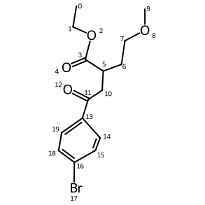 CCOC(=O)C(CCOC)CC(=O)c1ccc(Br)cc1